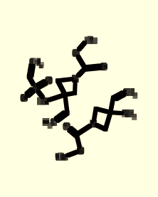 C=CC1(N)CN(C(=O)OC(C)(C)C)C1.C=CC1(NS(=O)(=O)C=C)CN(C(=O)OC(C)(C)C)C1